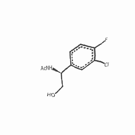 CC(=O)N[C@H](CO)c1ccc(F)c(Cl)c1